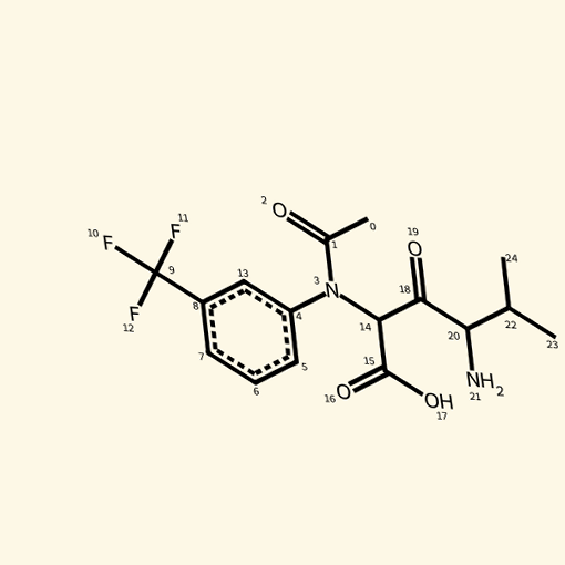 CC(=O)N(c1cccc(C(F)(F)F)c1)C(C(=O)O)C(=O)C(N)C(C)C